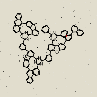 c1ccc(-c2nc(-c3cccc(-c4ccc(-c5nc(-c6ccccc6)nc(-c6cccc(-c7ccc(-c8nc(-c9ccccc9)nc(-c9ccccc9)n8)c8c7oc7ccc(-c9ccc(-c%10cccc%11ccccc%10%11)cc9)cc78)c6)n5)c5c4oc4ccc(-c6ccc7ccccc7c6)cc45)c3)nc(-c3cccc4oc5ccc(-c6cccc7ccccc67)cc5c34)n2)cc1